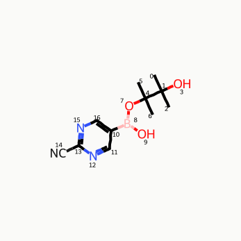 CC(C)(O)C(C)(C)OB(O)c1cnc(C#N)nc1